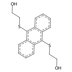 OCCSc1c2ccccc2c(SCCO)c2ccccc12